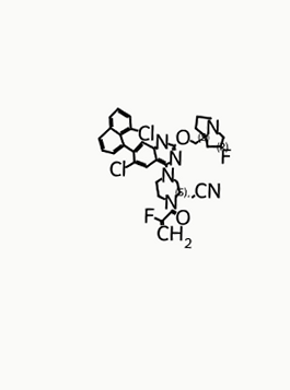 C=C(F)C(=O)N1CCN(c2nc(OC[C@@]34CCCN3C[C@H](F)C4)nc3cc(-c4cccc5cccc(Cl)c45)c(Cl)cc23)C[C@@H]1CC#N